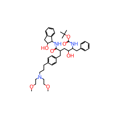 COCCN(CCCc1ccc(CC(CC(O)C(Cc2ccccc2)NC(=O)OC(C)(C)C)C(=O)NC2c3ccccc3CC2O)cc1)CCOC